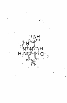 C[C@@H](Nc1nc2nccn2c2c1CNC2)c1cc(N)cc(C(F)(F)F)c1